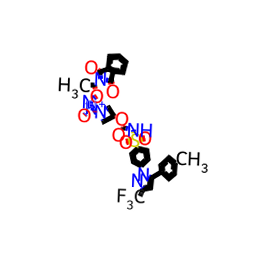 Cc1ccc(-c2cc(C(F)(F)F)nn2-c2ccc(S(=O)(=O)NC(=O)OC3CN(/[N+]([O-])=N\OC(C)N4C(=O)c5ccccc5C4=O)C3)cc2)cc1